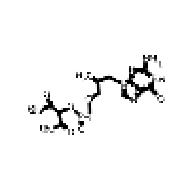 C=C(COC[PH](=O)OC(C(=O)C(C)(C)C)C(=O)C(C)(C)C)Cn1cnc2c(=O)[nH]c(N)nc21